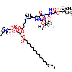 CCCCCCCCCCCCCCCC(=O)OC[C@H](COP(=O)(O)OCC[N+](C)(C)C)OC(=O)CCCCN(C)CCCC[C@H](NC(=O)OC(C)(C)C)C(=O)NCC(=O)NCC(=O)OCC[Si](C)(C)C